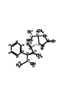 CC[C@@H](O)[C@@]1(C)OC(=O)N[C@@H]1C(=O)N(C)[C@H](c1ccccc1)[C@H](O)P